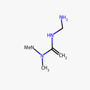 C=C(NCN)N(C)NC